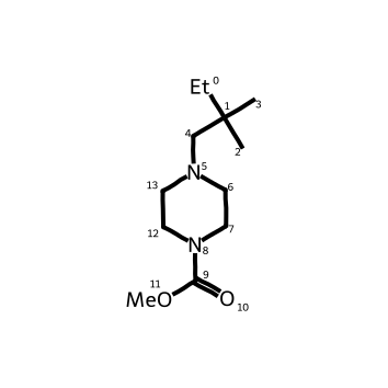 CCC(C)(C)CN1CCN(C(=O)OC)CC1